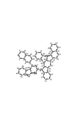 c1ccc2cc(-c3nc(-n4c5ccccc5c5cc6c7ccc8ccccc8c7n7c8ccccc8c(c54)c67)nc4oc5ccccc5c34)ccc2c1